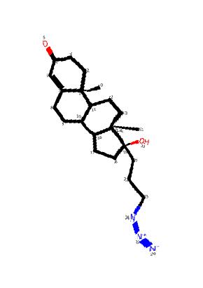 C[C@]12CCC(=O)C=C1CCC1C2CC[C@@]2(C)C1CC[C@@]2(O)CCCN=[N+]=[N-]